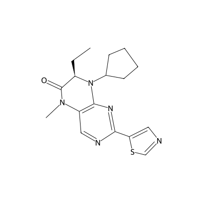 CC[C@@H]1C(=O)N(C)c2cnc(-c3cncs3)nc2N1C1CCCC1